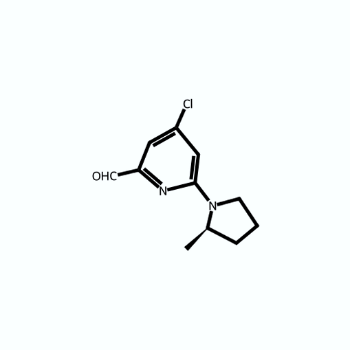 C[C@@H]1CCCN1c1cc(Cl)cc(C=O)n1